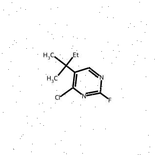 CCC(C)(C)c1cnc(F)nc1Cl